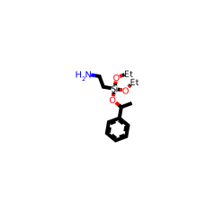 CCO[Si](CCN)(OCC)OC(C)c1ccccc1